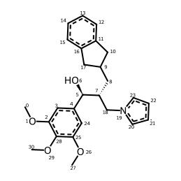 COc1cc([C@@H](O)[C@H](CC2Cc3ccccc3C2)Cn2c[c]cc2)cc(OC)c1OC